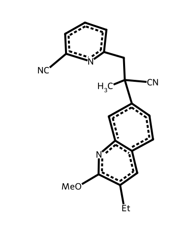 CCc1cc2ccc(C(C)(C#N)Cc3cccc(C#N)n3)cc2nc1OC